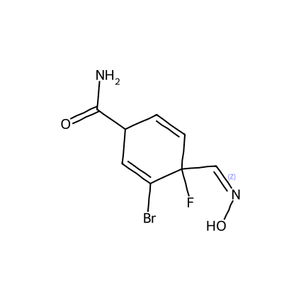 NC(=O)C1C=CC(F)(/C=N\O)C(Br)=C1